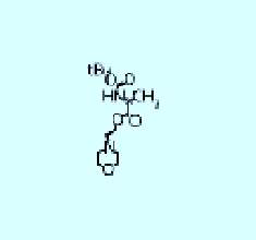 C[C@@H](NC(=O)OC(C)(C)C)C(=O)OCCN1CCOCC1